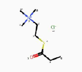 CCC(=O)SCC[N+](C)(C)C.[Cl-]